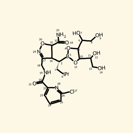 CC(C)C[C@@H](B1OC(C(O)CO)C(C(O)CO)O1)C1C(CNC(=O)c2cccc(Cl)n2)=NOC1C(N)=O